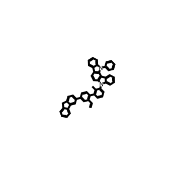 C=Cc1cc(-c2ccc3c(c2)-c2ccccc2C3)ccc1-c1cccc(-n2c3ccccc3c3c2ccc2c4ccccc4n(-c4ccccc4)c23)c1C